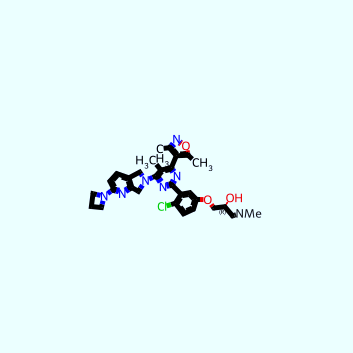 CNC[C@@H](O)COc1ccc(Cl)c(-c2nc(-c3c(C)noc3C)c(C)c(N3Cc4ccc(N5CCC5)nc4C3)n2)c1